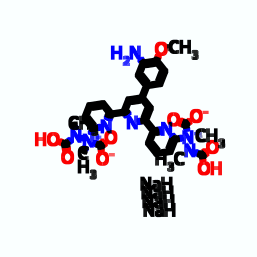 COc1ccc(-c2cc(-c3cccc([N+](C)(C(=O)[O-])N(C)C(=O)O)n3)nc(-c3cccc([N+](C)(C(=O)[O-])N(C)C(=O)O)n3)c2)cc1N.[NaH].[NaH].[NaH].[NaH]